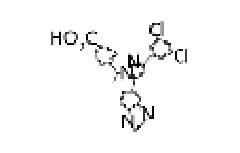 CC(c1ccc(C(=O)O)cc1)n1nc(-c2cc(Cl)cc(Cl)c2)cc1-c1ccc2nccnc2c1